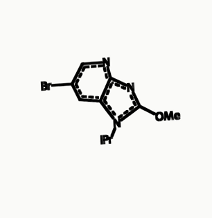 COc1nc2ncc(Br)cc2n1C(C)C